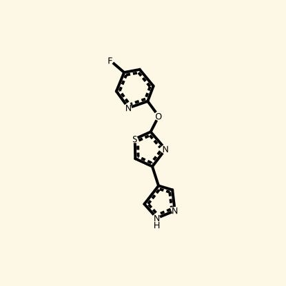 Fc1ccc(Oc2nc(-c3cn[nH]c3)cs2)nc1